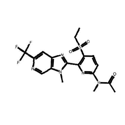 CCS(=O)(=O)c1ccc(N(C)C(C)=O)nc1-c1nc2cc(C(F)(F)F)ncc2n1C